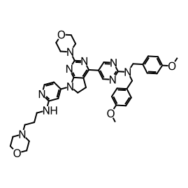 COc1ccc(CN(Cc2ccc(OC)cc2)c2ncc(-c3nc(N4CCOCC4)nc4c3CCN4c3ccnc(NCCCN4CCOCC4)c3)cn2)cc1